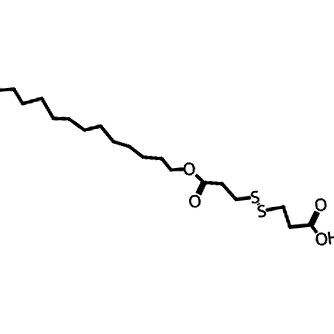 CCCCCCCCCCCCCOC(=O)CCSSCCC(=O)O